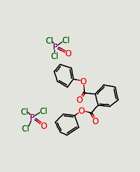 O=C(Oc1ccccc1)c1ccccc1C(=O)Oc1ccccc1.O=P(Cl)(Cl)Cl.O=P(Cl)(Cl)Cl